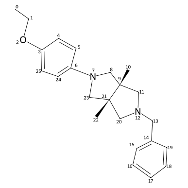 CCOc1ccc(N2C[C@]3(C)CN(Cc4ccccc4)C[C@]3(C)C2)cc1